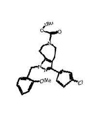 COc1ccccc1Cn1nc(-c2ccc(Cl)cc2)c2c1CCN(C(=O)OC(C)(C)C)CC2